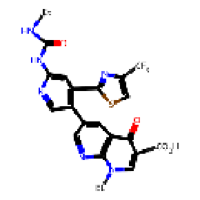 CCNC(=O)Nc1cc(-c2nc(C(F)(F)F)cs2)c(-c2cnc3c(c2)c(=O)c(C(=O)O)cn3CC)cn1